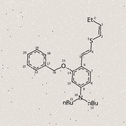 CC/C=C\SC=Cc1ccc(N(CCCC)CCCC)cc1OCc1ccccc1